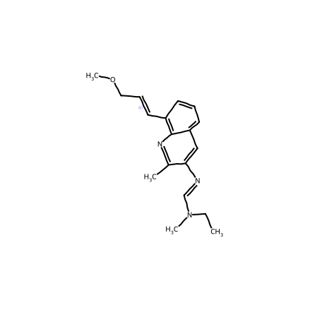 CCN(C)C=Nc1cc2cccc(/C=C/COC)c2nc1C